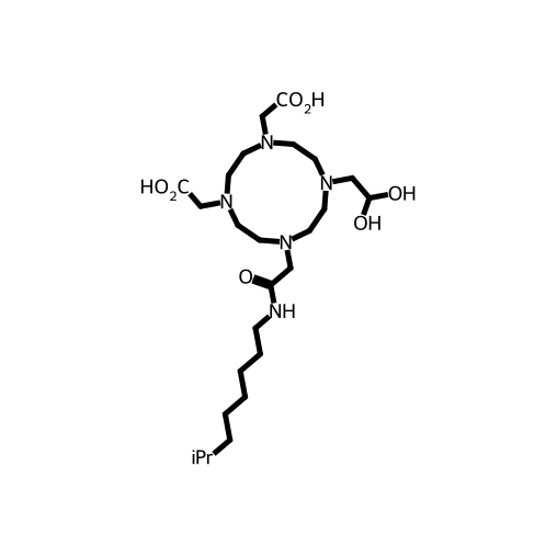 CC(C)CCCCCCNC(=O)CN1CCN(CC(=O)O)CCN(CC(=O)O)CCN(CC(O)O)CC1